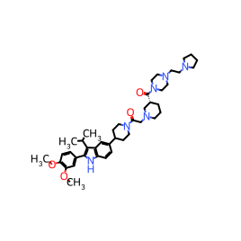 COc1ccc(-c2[nH]c3ccc(C4CCN(C(=O)CN5CCC[C@@H](C(=O)N6CCN(CCN7CCCC7)CC6)C5)CC4)cc3c2C(C)C)cc1OC